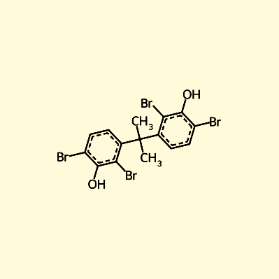 CC(C)(c1ccc(Br)c(O)c1Br)c1ccc(Br)c(O)c1Br